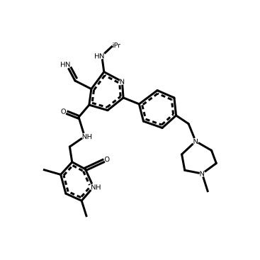 Cc1cc(C)c(CNC(=O)c2cc(-c3ccc(CN4CCN(C)CC4)cc3)nc(NC(C)C)c2C=N)c(=O)[nH]1